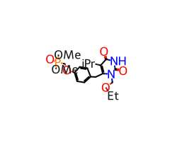 CCOCn1c(Cc2ccc(OCP(=O)(OC)OC)cc2)c(C(C)C)c(=O)[nH]c1=O